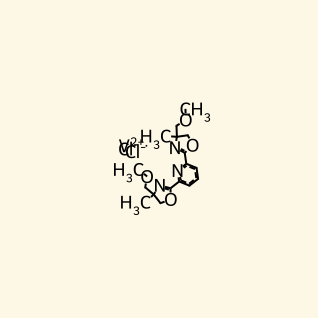 COCC1(C)COC(c2cccc(C3=NC(C)(COC)CO3)n2)=N1.[Cl-].[Cl-].[V+2]